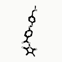 CNCc1ccc(N=Nc2ccc(C(=O)ON3C(=O)C(C)C(C)C3=O)cc2)cc1